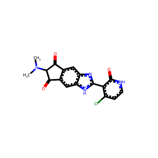 CN(C)C1C(=O)c2cc3nc(-c4c(Cl)cc[nH]c4=O)[nH]c3cc2C1=O